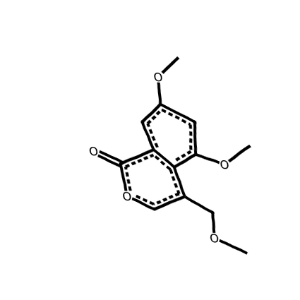 COCc1coc(=O)c2cc(OC)cc(OC)c12